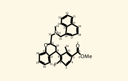 COC(=O)c1ccc(F)c(C2CC(CN(C)Cc3cccc4ccccc34)Oc3ccccc32)c1C